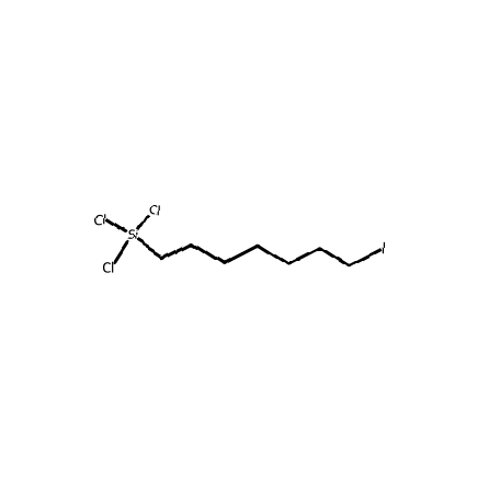 Cl[Si](Cl)(Cl)CCCCCCCI